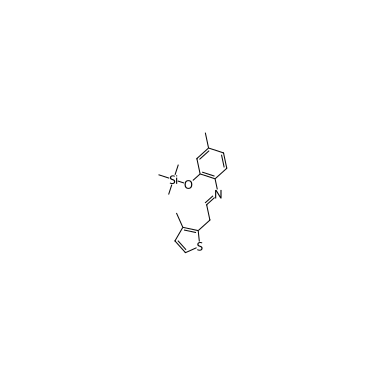 Cc1ccc(N=CCc2sccc2C)c(O[Si](C)(C)C)c1